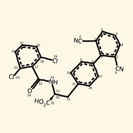 N#Cc1cccc(C#N)c1-c1ccc(C[C@H](NC(=O)c2c(Cl)cccc2Cl)C(=O)O)cc1